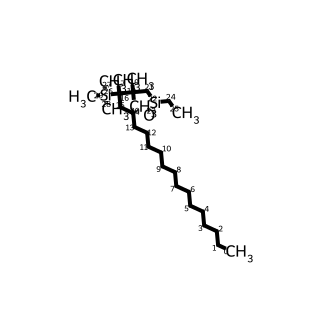 CCCCCCCCCCCCCCCCC(C)(C(C)(C)C[Si](=O)CC)[Si](C)(C)C